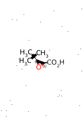 CC(C)(C)[C@H]1O[C@@H]1C(=O)O